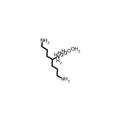 NCCCC(N)CCCN.O.O.O.O